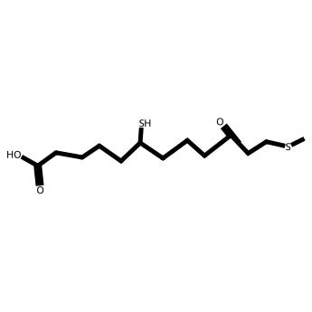 CSCCC(=O)CCCC(S)CCCCC(=O)O